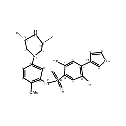 COc1ccc(N2C[C@@H](C)N[C@@H](C)C2)cc1NS(=O)(=O)c1cc(F)c(-c2ccoc2)cc1F